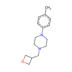 Cc1ccc(N2CCN(CC3COC3)CC2)cc1